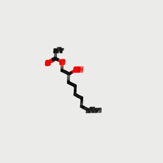 CCCCCCCCCCCCCCC(O)COC(=O)CCC